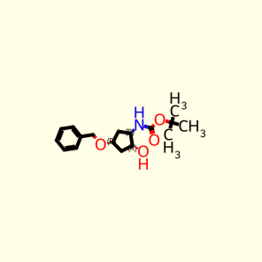 CC(C)(C)OC(=O)N[C@@H]1C[C@@H](OCc2ccccc2)C[C@H]1O